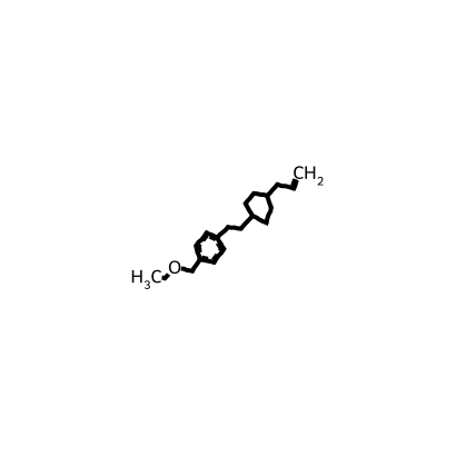 C=CCC1CCC(CCc2ccc(COCC)cc2)CC1